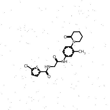 Cc1cc(NC(=O)CNC(=O)c2ccc(Cl)s2)ccc1N1CCCCC1=O